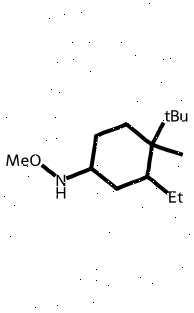 CCC1CC(NOC)CCC1(C)C(C)(C)C